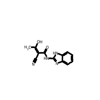 C/C(O)=C(\C#N)C(=O)Nc1nc2ccccc2[nH]1